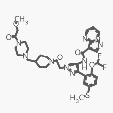 COCC(=O)N1CCN(CC2CCN(C(=O)Cn3cc(NC(=O)c4cnn5cccnc45)c(-c4cc(SC)ccc4OC(F)F)n3)CC2)CC1